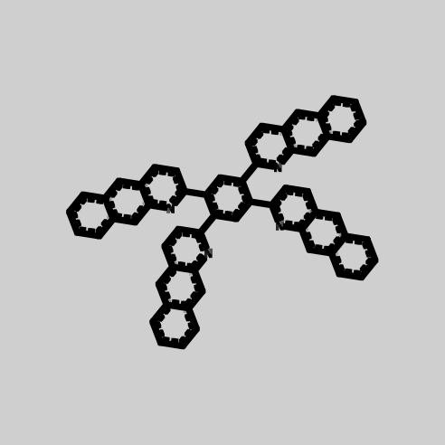 c1ccc2cc3nc(-c4cc(-c5ccc6cc7ccccc7cc6n5)c(-c5ccc6cc7ccccc7cc6n5)cc4-c4ccc5cc6ccccc6cc5n4)ccc3cc2c1